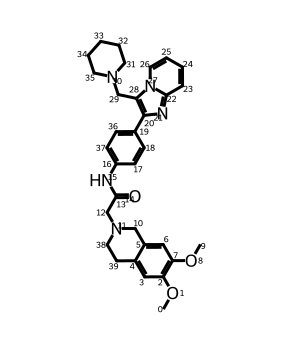 COc1cc2c(cc1OC)CN(CC(=O)Nc1ccc(-c3nc4ccccn4c3CN3CCCCC3)cc1)CC2